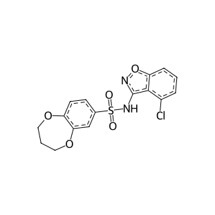 O=S(=O)(Nc1noc2cccc(Cl)c12)c1ccc2c(c1)OCCCO2